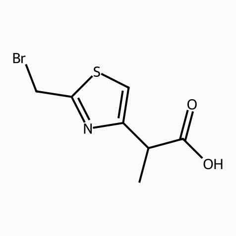 CC(C(=O)O)c1csc(CBr)n1